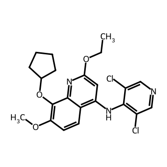 CCOc1cc(Nc2c(Cl)cncc2Cl)c2ccc(OC)c(OC3CCCC3)c2n1